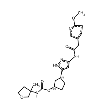 COc1ccc(CC(=O)Nc2cc([C@H]3CC[C@@H](OC(=O)NC4(C)CCOC4)C3)[nH]n2)cn1